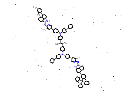 N#C/C(=C(/C#N)c1ccc(N(c2ccc(-c3ccccc3)cc2)c2ccc(-c3cnc(/N=C4\Nc5ccc(-c6ccc(C(F)(F)F)cc6C(F)(F)F)c6cccc4c56)c(C#N)c3)cc2)cc1)c1ccc(N(c2ccc(-c3ccccc3)cc2)c2ccc(-c3cnc(/N=C4\Nc5ccc(-c6ccc7c(c6)C6(c8ccccc8-c8ccccc86)c6ccccc6-7)c6cccc4c56)c(C#N)c3)cc2)cc1